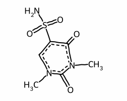 Cn1cc(S(N)(=O)=O)c(=O)n(C)c1=O